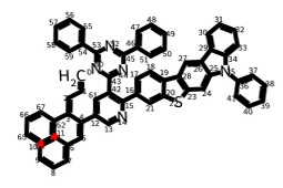 C=C/C=C(\C(=C/c1ccccc1)c1cnc(-c2ccc3c(c2)sc2cc4c(cc23)c2ccccc2n4-c2ccccc2)c(-c2nc(-c3ccccc3)nc(-c3ccccc3)n2)c1)c1ccccc1